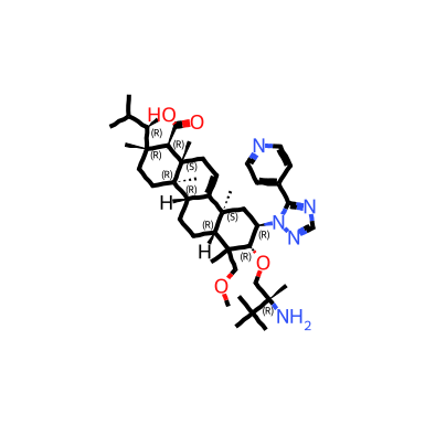 COCC1(C)[C@@H](OC[C@](C)(N)C(C)(C)C)[C@H](n2ncnc2-c2ccncc2)C[C@]2(C)C3=CC[C@@]4(C)[C@H](C(=O)O)[C@@](C)([C@H](C)C(C)C)CC[C@]4(C)[C@H]3CC[C@@H]12